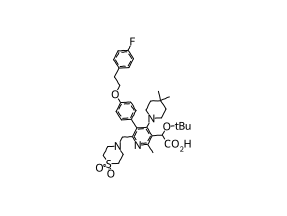 Cc1nc(CN2CCS(=O)(=O)CC2)c(-c2ccc(OCCc3ccc(F)cc3)cc2)c(N2CCC(C)(C)CC2)c1C(OC(C)(C)C)C(=O)O